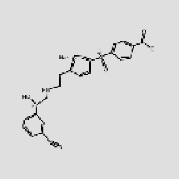 N#Cc1cccc([C@@H](O)CNCCc2ccc(S(=O)(=O)c3ccc(C(=O)[O-])cc3)cc2)c1.[Na+]